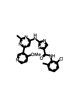 COc1ccncc1-c1cc(Nc2ncc(C(=O)Nc3c(C)cccc3Cl)s2)nc(C)n1